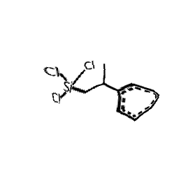 CC(C[Si](Cl)(Cl)Cl)c1ccccc1